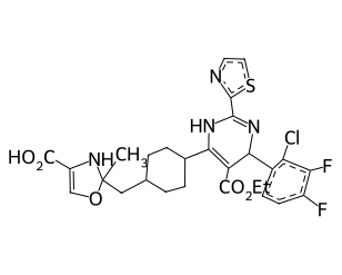 CCOC(=O)C1=C(C2CCC(CC3(C)NC(C(=O)O)=CO3)CC2)NC(c2nccs2)=NC1c1ccc(F)c(F)c1Cl